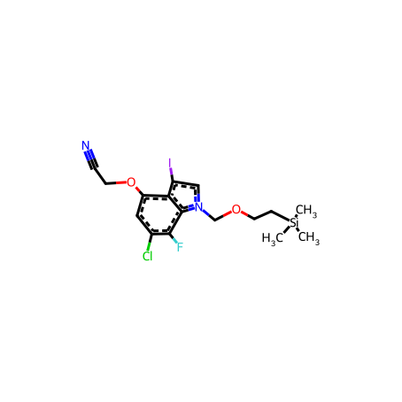 C[Si](C)(C)CCOCn1cc(I)c2c(OCC#N)cc(Cl)c(F)c21